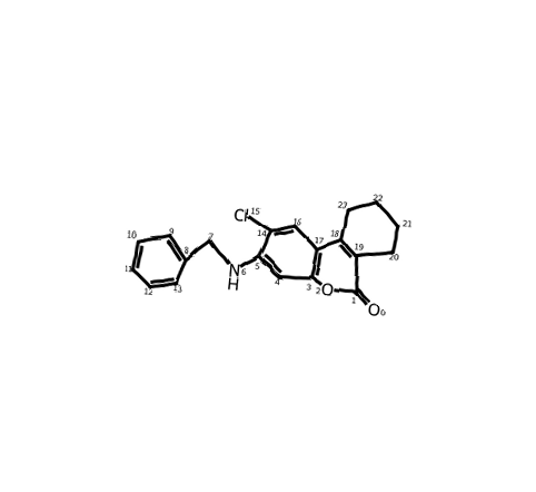 O=c1oc2cc(NCc3ccccc3)c(Cl)cc2c2c1CCCC2